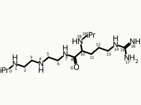 CC(C)NCCNCCNC(=O)C(CCCNC(=N)N)NC(C)C